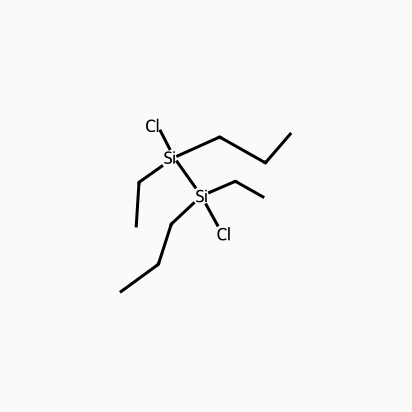 CCC[Si](Cl)(CC)[Si](Cl)(CC)CCC